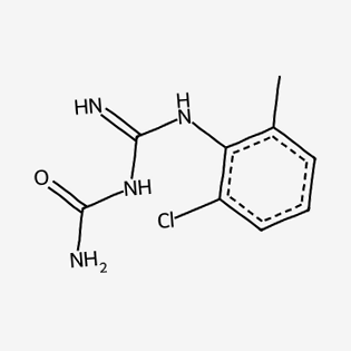 Cc1cccc(Cl)c1NC(=N)NC(N)=O